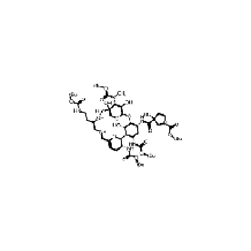 CN(C(=O)OC(C)(C)C)[C@@H]1[C@@H](O)[C@@H](O[C@@H]2[C@@H](O)[C@H](C3OC(CNCC(O)CCNC(=O)OC(C)(C)C)=CC[C@H]3NC(=O)OC(C)(C)C)[C@@H](NC(=O)OC(C)(C)C)C[C@H]2NC(=O)C2(O)CCN(C(=O)OC(C)(C)C)C2)OC[C@]1(C)O